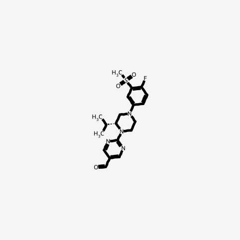 CC(C)[C@@H]1CN(c2ccc(F)c(S(C)(=O)=O)c2)CCN1c1ncc(C=O)cn1